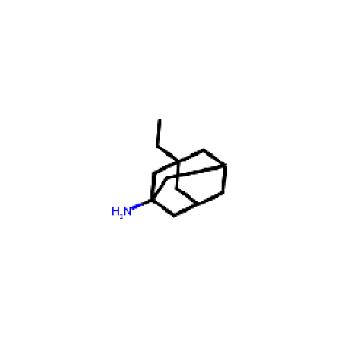 CCC12CC3CC(CC(N)(C3)C1)C2